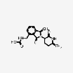 C=C1CCC(N2C(=C)c3cccc(CNC(=O)O)c3C2=O)C(=O)N1